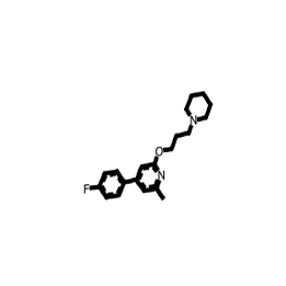 Cc1cc(-c2ccc(F)cc2)cc(OCCCN2CCCCC2)n1